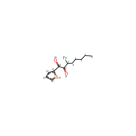 CCCCCC(F)C(=O)C(=O)c1cccs1